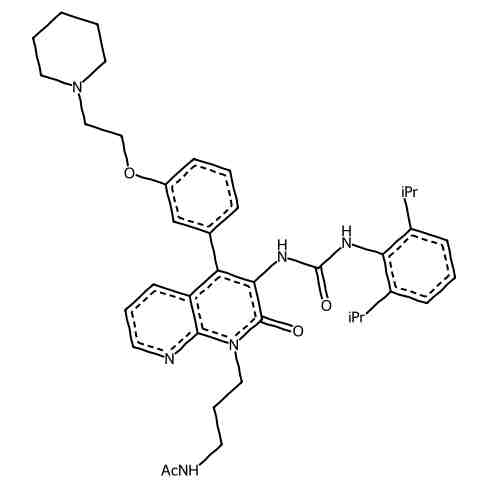 CC(=O)NCCCn1c(=O)c(NC(=O)Nc2c(C(C)C)cccc2C(C)C)c(-c2cccc(OCCN3CCCCC3)c2)c2cccnc21